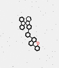 C1=CC2=C(CC1)C1(c3cc(-c4cccc(-c5ccc6c7c(cccc57)-c5ccccc5O6)c4)ccc32)c2ccccc2-c2ccccc21